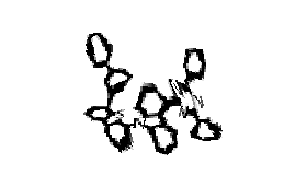 c1ccc(-c2cccc(-c3cccc4c3sc3c(-n5c6ccccc6c6c(-c7nc(-c8ccccc8)nc(-c8ccccc8)n7)cccc65)cccc34)c2)cc1